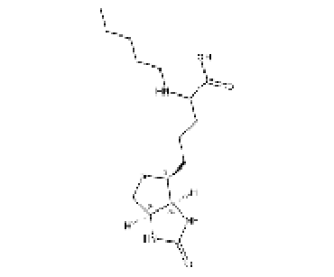 CCCCCNC(CCC[C@@H]1SC[C@@H]2NC(=O)N[C@@H]21)C(=O)O